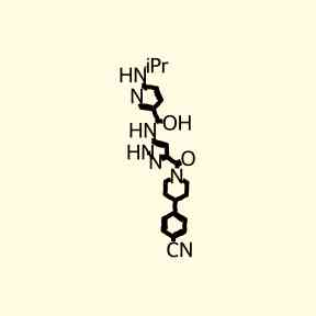 CC(C)Nc1ccc(C(O)Nc2cc(C(=O)N3CCC(c4ccc(C#N)cc4)CC3)n[nH]2)cn1